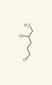 CCC(Cl)CCCCl